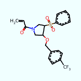 C=CC(=O)N1CC(OCc2ccc(C(F)(F)F)cc2)C(S(=O)(=O)c2ccccc2)C1